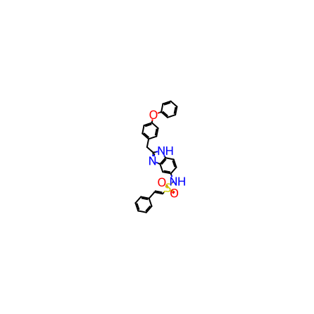 O=S(=O)(C=Cc1ccccc1)Nc1ccc2[nH]c(Cc3ccc(Oc4ccccc4)cc3)nc2c1